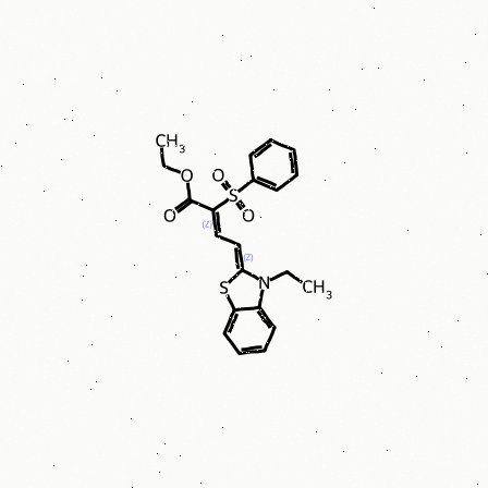 CCOC(=O)/C(=C/C=C1\Sc2ccccc2N1CC)S(=O)(=O)c1ccccc1